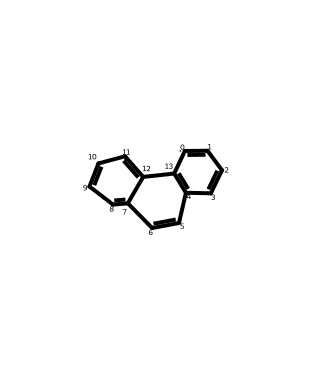 [c]1cccc2ccc3ccc[c]c3c12